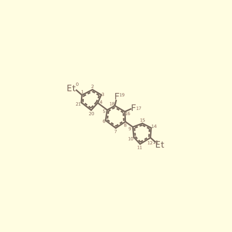 CCc1ccc(-c2ccc(-c3ccc(CC)cc3)c(F)c2F)cc1